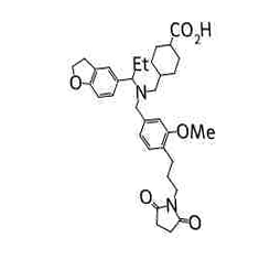 CCC(c1ccc2c(c1)CCO2)N(Cc1ccc(CCCN2C(=O)CCC2=O)c(OC)c1)CC1CCC(C(=O)O)CC1